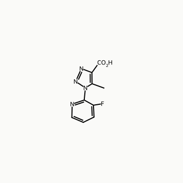 Cc1c(C(=O)O)nnn1-c1ncccc1F